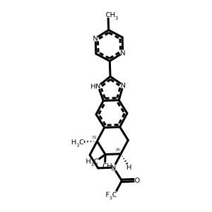 Cc1cnc(-c2nc3cc4c(cc3[nH]2)[C@]2(C)CCN(C(=O)C(F)(F)F)[C@H](C4)C2(C)C)cn1